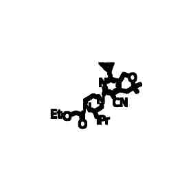 CCOCC(=O)N1CCN(c2nc(C3CC3)c3c(c2C#N)CC(C)(C)OC3)CC1C(C)C